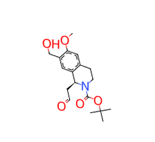 COc1cc2c(cc1CO)[C@H](CC=O)N(C(=O)OC(C)(C)C)CC2